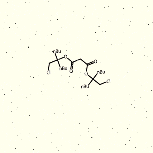 CCCCC(CCl)(CCCC)OC(=O)CC(=O)OC(CCl)(CCCC)CCCC